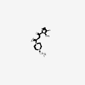 O=C(CC(=O)N1CCN(C(=O)O)CC1)c1scc(Br)c1O